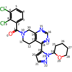 O=C(c1cccc(Cl)c1Cl)N1CCc2c(ncnc2-c2ccnn2C2CCCCO2)C1